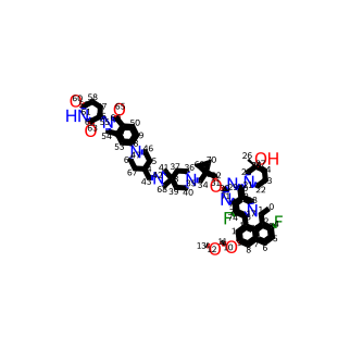 CCc1c(F)ccc2cc(OCOC)cc(-c3ncc4c(N5CCC[C@@](C)(O)C5)nc(OCC5(CN6CCC7(CC6)CN(CC6CCN(c8ccc9c(c8)CN(C8CCC(=O)NC8=O)C9=O)CC6)C7)CC5)nc4c3F)c12